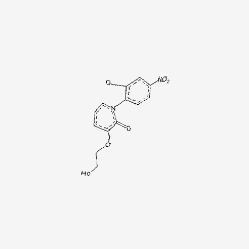 O=c1c(OCCO)cccn1-c1ccc([N+](=O)[O-])cc1Cl